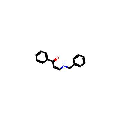 O=C(/C=C\NCc1ccccc1)c1ccccc1